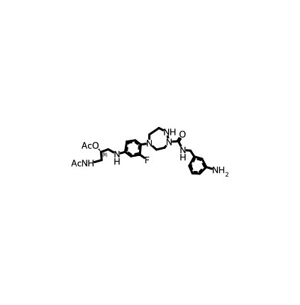 CC(=O)NC[C@@H](CNc1ccc(N2CCNN(C(=O)NCc3cccc(N)c3)CC2)c(F)c1)OC(C)=O